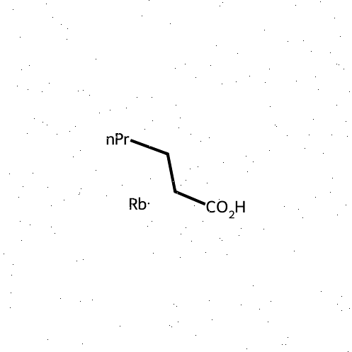 CCCCCC(=O)O.[Rb]